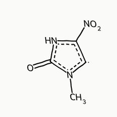 Cn1[c]c([N+](=O)[O-])[nH]c1=O